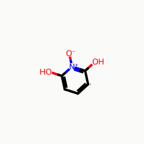 [O-][n+]1c(O)[c]ccc1O